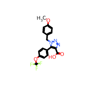 COc1ccc(Cn2nnc(C(=O)O)c2-c2ccc(OC(F)(F)F)cc2)cc1